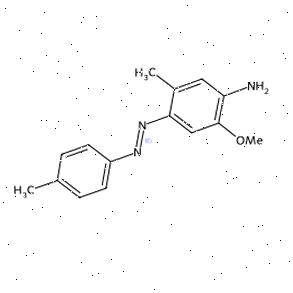 COc1cc(/N=N/c2ccc(C)cc2)c(C)cc1N